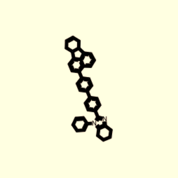 C1=CC(n2c(-c3ccc(-c4ccc(-c5ccc6c7c(cccc57)C5CC=CCC65)cc4)cc3)nc3c2CCCC3)=CCC1